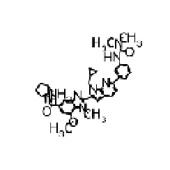 COc1cc(C(=O)N2CC3CCC2[C@@H]3N)cc2nc(-c3cc4ccc(-c5cccc(NC(=O)N(C)C)c5)nc4n3CC3CC3)n(C)c12